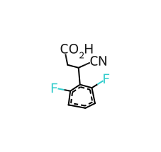 N#CC(CC(=O)O)c1c(F)cccc1F